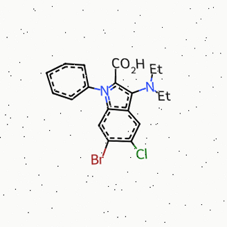 CCN(CC)c1c(C(=O)O)n(-c2ccccc2)c2cc(Br)c(Cl)cc12